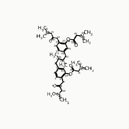 C[C@H](Cc1ccc(CC(=O)CN(C)C)c(OC(=O)CN(C)C)c1)[C@@H](C)Cc1ccc(CC(=O)CN(C)C)c(OC(=O)CN(C)C)c1